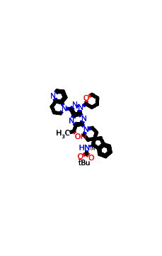 CC(O)c1nc2c(N3CCCc4ncccc43)nn(C3CCCCO3)c2nc1N1CCC2(CC1)Cc1ccccc1[C@H]2NC(=O)OC(C)(C)C